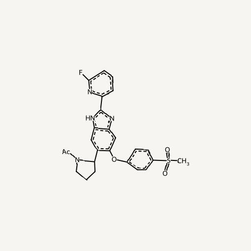 CC(=O)N1CCCC1c1cc2[nH]c(-c3cccc(F)n3)nc2cc1Oc1ccc(S(C)(=O)=O)cc1